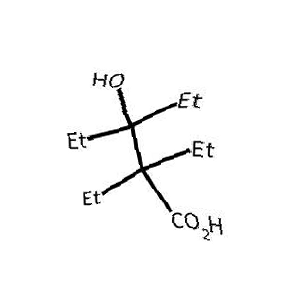 CCC(O)(CC)C(CC)(CC)C(=O)O